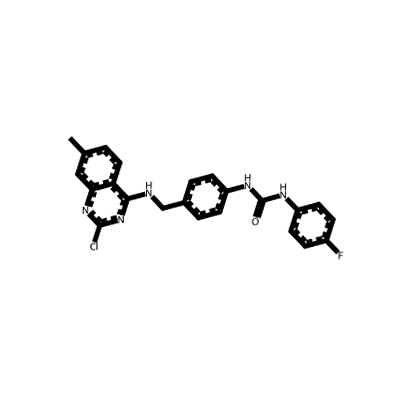 Cc1ccc2c(NCc3ccc(NC(=O)Nc4ccc(F)cc4)cc3)nc(Cl)nc2c1